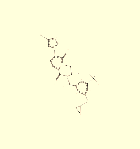 Cc1cn(-c2ccc3n(c2=O)C[C@@H](C)N([C@@H](C)c2cc(OC4CC4)cc(C(F)(F)F)c2)C3=O)cn1